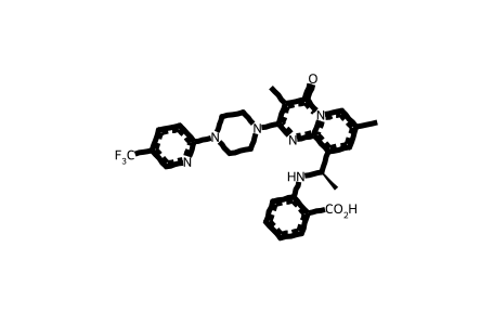 Cc1cc([C@@H](C)Nc2ccccc2C(=O)O)c2nc(N3CCN(c4ccc(C(F)(F)F)cn4)CC3)c(C)c(=O)n2c1